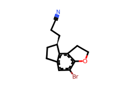 N#CCC[C@@H]1CCc2cc(Br)c3c(c21)CCO3